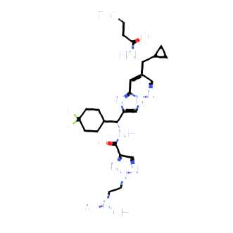 CC(=O)N(C)CCn1ncc(C(=O)N[C@H](c2cn3ncc([C@H](NC(=O)CCC(F)(F)F)C4CC4)cc3n2)C2CCC(F)(F)CC2)n1